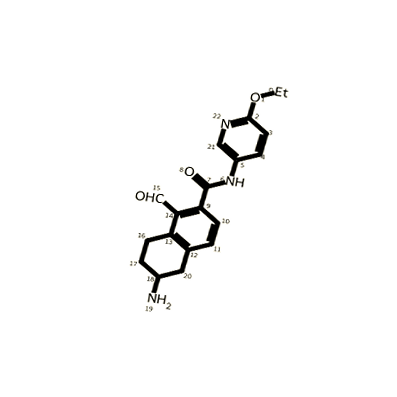 CCOc1ccc(NC(=O)c2ccc3c(c2C=O)CCC(N)C3)cn1